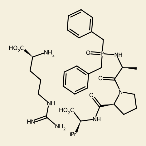 CC(C)[C@H](NC(=O)[C@@H]1CCCN1C(=O)[C@H](C)NP(=O)(Cc1ccccc1)Cc1ccccc1)C(=O)O.N=C(N)NCCC[C@H](N)C(=O)O